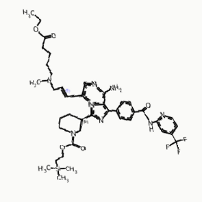 CCOC(=O)CCCCN(C)C/C=C/c1cnc(N)c2c(-c3ccc(C(=O)Nc4cc(C(F)(F)F)ccn4)cc3)nc([C@@H]3CCCN(C(=O)OCC[Si](C)(C)C)C3)n12